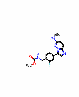 CCCCNc1ccc2ncc(-c3ccc(CNC(=O)OC(C)(C)C)c(F)c3)n2n1